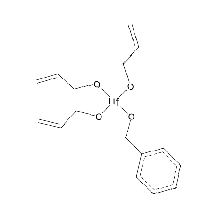 C=CC[O][Hf]([O]CC=C)([O]CC=C)[O]Cc1ccccc1